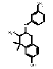 CC1(C)c2cc(O)ccc2CC(Sc2cccc(N)c2)C1N